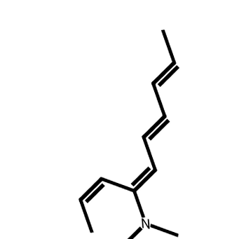 C\C=C/C(=C\C=C\C=C\C)N(C)C